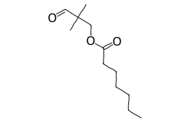 CCCCCCC(=O)OCC(C)(C)C=O